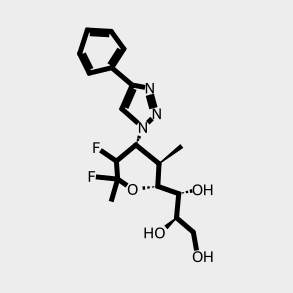 C[C@H]1[C@H]([C@H](O)[C@H](O)CO)OC(C)(F)C(F)[C@@H]1n1cc(-c2ccccc2)nn1